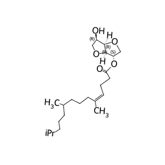 CC(=CCCC(=O)O[C@H]1CO[C@H]2[C@@H]1OC[C@H]2O)CCCC(C)CCCC(C)C